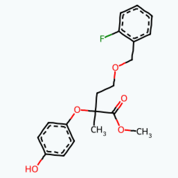 COC(=O)C(C)(CCOCc1ccccc1F)Oc1ccc(O)cc1